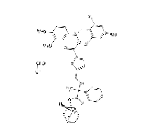 COc1ccc([C@H](Cc2c(Cl)c[n+](O)cc2Cl)OC(=O)c2ccc(CNC(C)(C(=O)O[C@H]3CN4CCC3CC4)c3ccccc3)s2)cc1OC.O=C[O-]